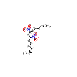 CCCCCC(CC(CCCCC)[N+](=O)[O-])[N+](=O)[O-]